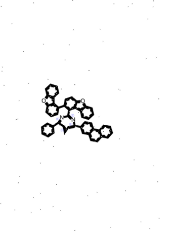 C1=C/C(c2ccccc2)=N\C(c2c(-c3cccc4oc5ccccc5c34)ccc3oc4ccccc4c23)=N/C(c2ccc3c(ccc4ccccc43)c2)=C/1